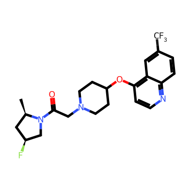 C[C@@H]1C[C@H](F)CN1C(=O)CN1CCC(Oc2ccnc3ccc(C(F)(F)F)cc23)CC1